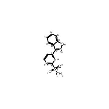 CS(=O)(=O)c1nccc(-c2noc3ccccc23)n1